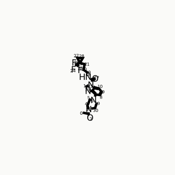 CC(=O)N1CCN(c2cccc3c2ncn3C(=O)NCCCC2(C(F)(F)F)CC2)CC1